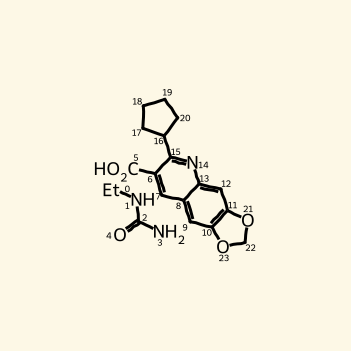 CCNC(N)=O.O=C(O)c1cc2cc3c(cc2nc1C1CCCC1)OCO3